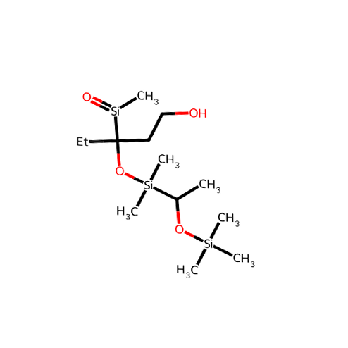 CCC(CCO)(O[Si](C)(C)C(C)O[Si](C)(C)C)[Si](C)=O